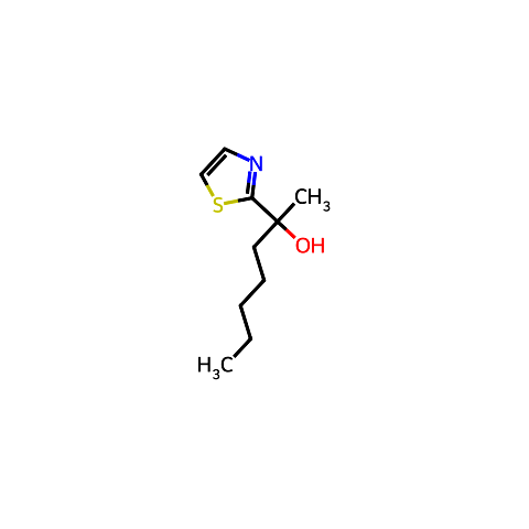 CCCCCC(C)(O)c1nccs1